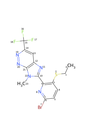 CCSc1ccc(Br)nc1-c1nc2cc(C(F)(F)F)nnc2n1C